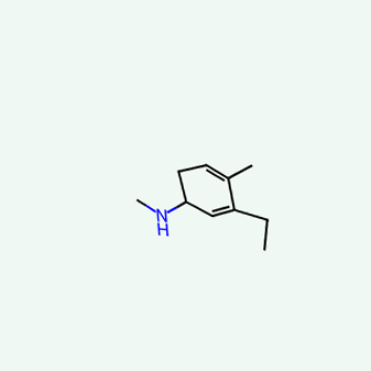 CCC1=CC(NC)CC=C1C